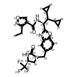 CCc1nocc1C(=O)N[C@H](c1nc2cc(CN3C[C@@H](C(F)(F)F)NC3=O)ccc2o1)C(C1CC1)C1CC1